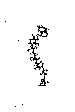 Cc1ccc2cccc(OCc3c(Cl)ccc(N(C)C(=O)CNC(=O)/C=C/c4ccc(NC(=O)Cc5cccs5)cc4)c3Cl)c2n1